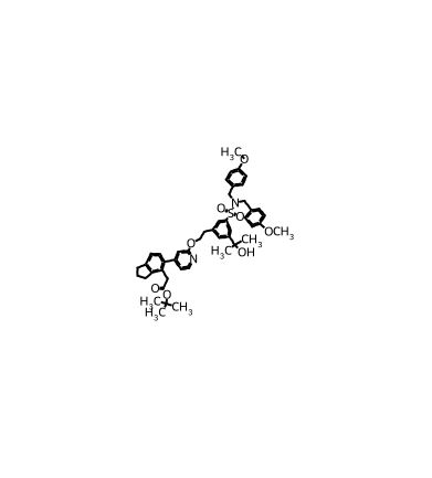 COc1ccc(CN(Cc2ccc(OC)cc2)S(=O)(=O)c2cc(CCOc3cc(-c4ccc5c(c4CC(=O)OC(C)(C)C)CCC5)ccn3)cc(C(C)(C)O)c2)cc1